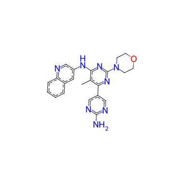 Cc1c(Nc2cnc3ccccc3c2)nc(N2CCOCC2)nc1-c1cnc(N)nc1